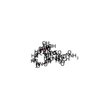 CC[C@H](C)[C@@H]1NC(=O)CNC(=O)C2Cc3c([nH]c4cc(O)ccc34)[S@+]([O-])CC(NC(=O)CNC1=O)C(=O)N[C@@H](CC(N)=O)C(=O)C(Cc1ccc(NC(=O)[C@@H](CCCNC(N)=O)NC(=O)[C@H](NC(C)=O)C(C)C)cc1)N1C[C@H](O)C[C@]1(C=O)N[C@@H]([C@@H](C)[C@@H](O)CO)C(=O)N2